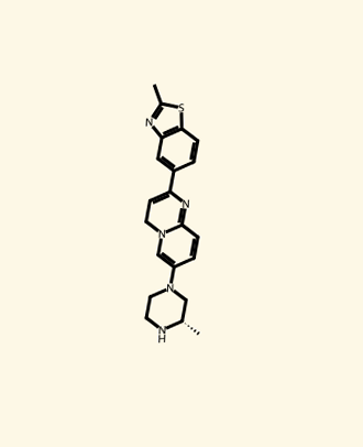 Cc1nc2cc(C3=CCN4C=C(N5CCN[C@@H](C)C5)C=CC4=N3)ccc2s1